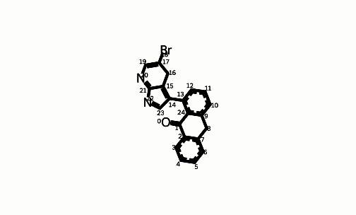 O=C1c2ccccc2Cc2cccc(C3=C4CC(Br)=CN=C4N=C3)c21